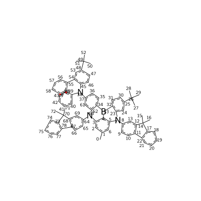 Cc1cc2c3c(c1)N(c1ccc4c(c1)C(C)(C)c1ccccc1-4)c1cc(C(C)(C)C)ccc1B3c1ccc(N(c3ccccc3)c3ccc(C(C)(C)C)cc3-c3ccccc3)cc1N2c1ccc2c(c1)C(C)(C)c1ccccc1-2